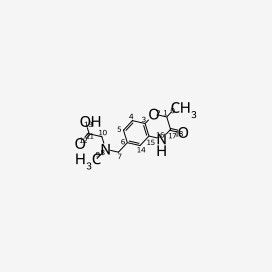 CC1Oc2ccc(CN(C)CC(=O)O)cc2NC1=O